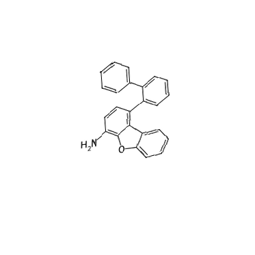 Nc1ccc(-c2ccccc2-c2ccccc2)c2c1oc1ccccc12